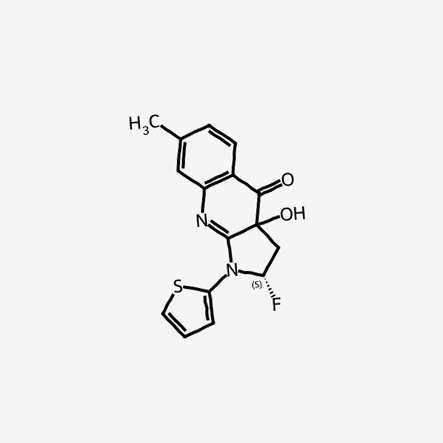 Cc1ccc2c(c1)N=C1N(c3cccs3)[C@@H](F)CC1(O)C2=O